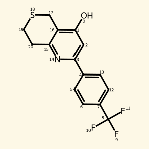 Oc1cc(-c2ccc(C(F)(F)F)cc2)nc2c1CSCC2